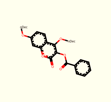 CCCCCCCCCCOc1ccc2c(OCCCCCCCCCC)c(OC(=O)c3ccccc3)c(=O)oc2c1